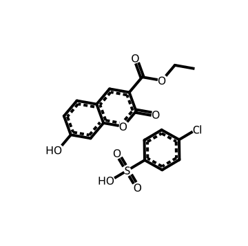 CCOC(=O)c1cc2ccc(O)cc2oc1=O.O=S(=O)(O)c1ccc(Cl)cc1